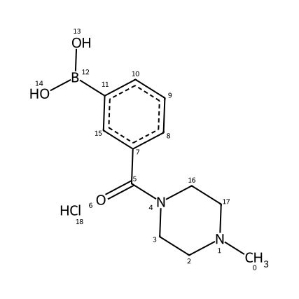 CN1CCN(C(=O)c2cccc(B(O)O)c2)CC1.Cl